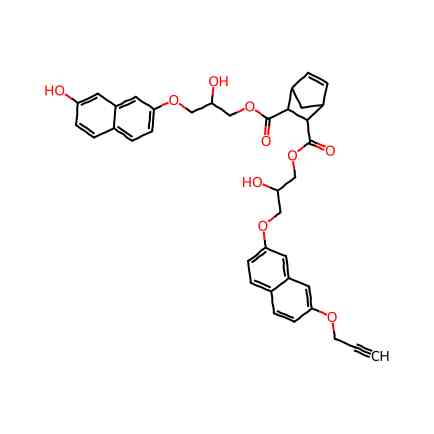 C#CCOc1ccc2ccc(OCC(O)COC(=O)C3C4C=CC(C4)C3C(=O)OCC(O)COc3ccc4ccc(O)cc4c3)cc2c1